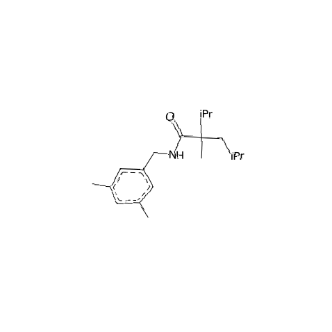 Cc1cc(C)cc(CNC(=O)C(C)(CC(C)C)C(C)C)c1